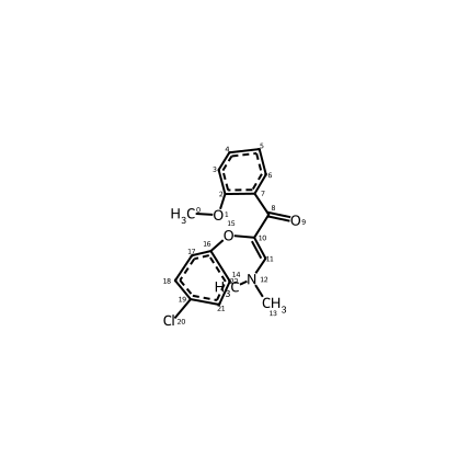 COc1ccccc1C(=O)/C(=C/N(C)C)Oc1ccc(Cl)cc1